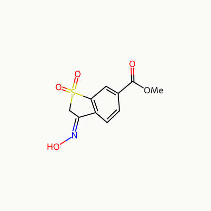 COC(=O)c1ccc2c(c1)S(=O)(=O)CC2=NO